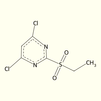 CCS(=O)(=O)c1nc(Cl)cc(Cl)n1